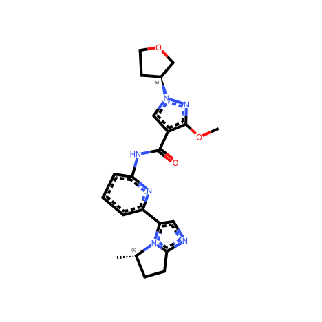 COc1nn([C@H]2CCOC2)cc1C(=O)Nc1cccc(-c2cnc3n2[C@@H](C)CC3)n1